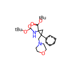 CC(C)(C)OC(=O)NC1(C(=O)OC(C)(C)C)CC1(CN1CCOCC1)c1ccccc1